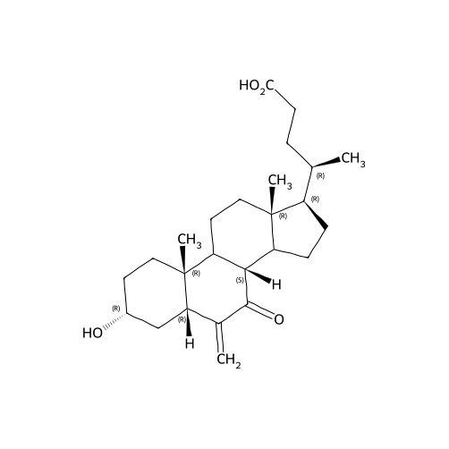 C=C1C(=O)[C@H]2C3CC[C@H]([C@H](C)CCC(=O)O)[C@@]3(C)CCC2[C@@]2(C)CC[C@@H](O)C[C@@H]12